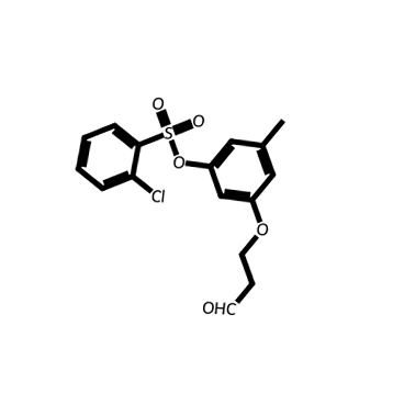 Cc1cc(OCCC=O)cc(OS(=O)(=O)c2ccccc2Cl)c1